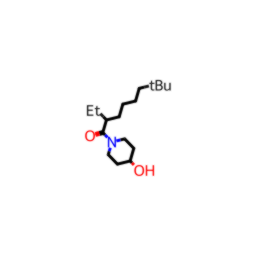 CCC(CCCCC(C)(C)C)C(=O)N1CCC(O)CC1